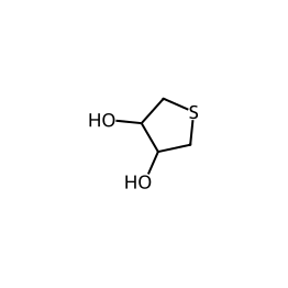 OC1CSCC1O